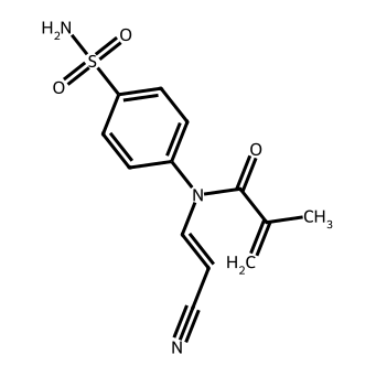 C=C(C)C(=O)N(C=CC#N)c1ccc(S(N)(=O)=O)cc1